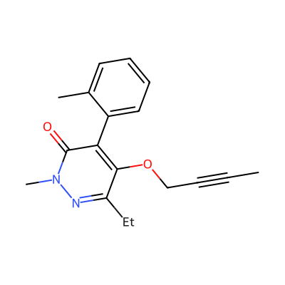 CC#CCOc1c(CC)nn(C)c(=O)c1-c1ccccc1C